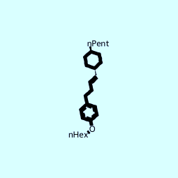 CCCCCCOc1ccc(CCC=C[C@H]2CC[C@H](CCCCC)CC2)cc1